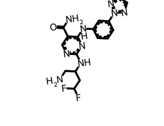 NCC(CC(F)F)Nc1ncc(C(N)=O)c(Nc2cccc(-n3nccn3)c2)n1